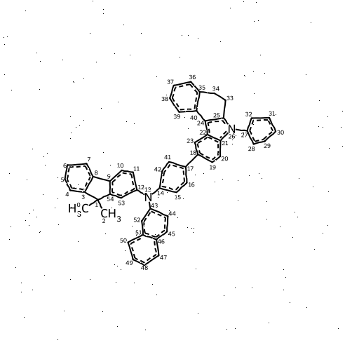 CC1(C)c2ccccc2-c2ccc(N(c3ccc(-c4ccc5c(c4)c4c(n5-c5ccccc5)CCc5ccccc5-4)cc3)c3ccc4ccccc4c3)cc21